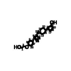 OCCOc1ccc(-n2cc(CN3CCC(c4cccc(O)c4)CC3)nn2)cc1